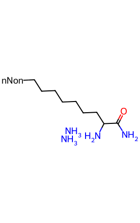 CCCCCCCCCCCCCCCCC(N)C(N)=O.N.N